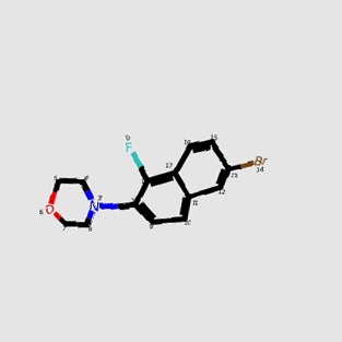 Fc1c(N2CCOCC2)ccc2cc(Br)ccc12